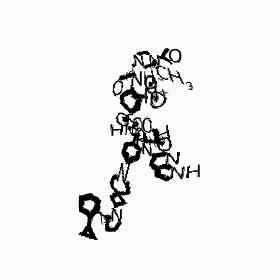 C[C@@H]1CN(C[C@H]2COc3cc(S(=O)(=O)NC(=O)c4ccc(N5CCC6(CC5)CC(N5CCC[C@H]5c5ccccc5C5CC5)C6)cc4N4c5cc6cc[nH]c6nc5O[C@@H]5COC[C@@H]54)cc([N+](=O)[O-])c3N2)CCN1C1COC1